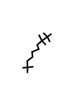 CC(C)(C)CCCCCC(C)(C)C(C)(C)C